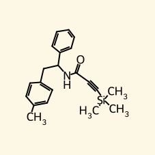 Cc1ccc(CC(NC(=O)C#C[Si](C)(C)C)c2ccccc2)cc1